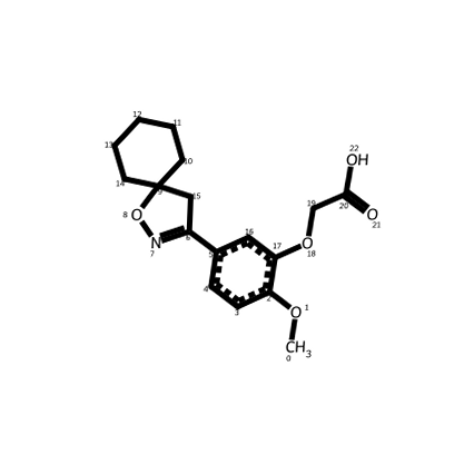 COc1ccc(C2=NOC3(CCCCC3)C2)cc1OCC(=O)O